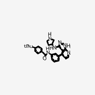 CC(C)(C)c1ccc(C(=O)Nc2cccc(-c3ccnc4[nH]nc(NC5CCNC5)c34)c2)cc1